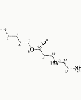 CCCCCCOC(=O)CCNCCN